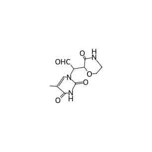 Cc1cn(C(C=O)C2OCCNC2=O)c(=O)[nH]c1=O